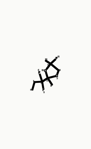 CCC(F)(F)C1(C)OCC(C)(F)O1